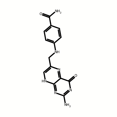 NC(=O)c1ccc(NCc2c[nH]c3nc(N)nc(=O)c-3n2)cc1